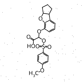 COc1ccc(S(=O)(=O)OC(Oc2cccc3c2OC2CCCC32)C(=O)O)cc1